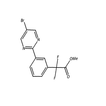 COC(=O)C(F)(F)c1cccc(-c2ncc(Br)cn2)c1